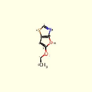 CCOc1cc2scnc2o1